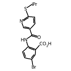 CC(C)Sc1ccc(C(=O)Nc2ccc(Br)cc2C(=O)O)cn1